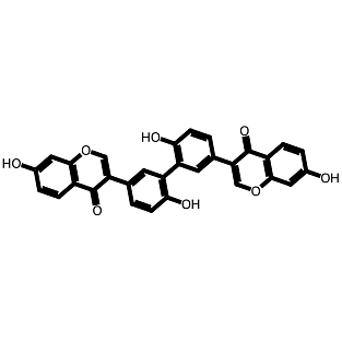 O=c1c(-c2ccc(O)c(-c3cc(-c4coc5cc(O)ccc5c4=O)ccc3O)c2)coc2cc(O)ccc12